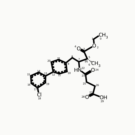 CCOC(=O)[C@H](C)C(Cc1ccc(-c2cccc(Cl)c2)cc1)NC(=O)CCC(=O)O